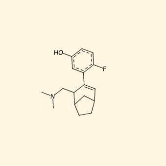 CN(C)CC1C(c2cc(O)ccc2F)=CC2CCC1C2